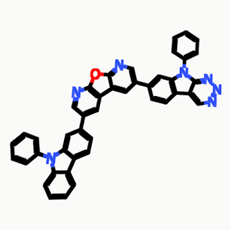 c1ccc(-n2c3ccccc3c3ccc(-c4cnc5oc6ncc(-c7ccc8c9cnnnc9n(-c9ccccc9)c8c7)cc6c5c4)cc32)cc1